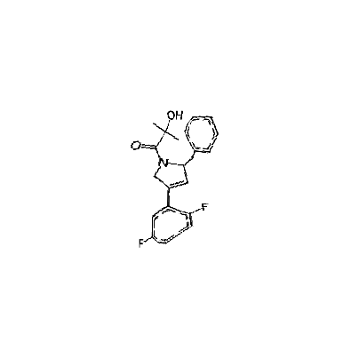 CC(C)(O)C(=O)N1CC(c2cc(F)ccc2F)=CC1c1ccccc1